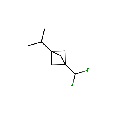 CC(C)C12CC(C(F)F)(C1)C2